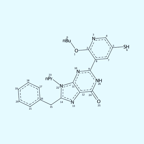 CCCCOc1ncc(S)cc1-c1nc2c(nc(Cc3ccccc3)n2CCC)c(=O)[nH]1